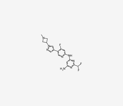 CN1CC(n2cc(-c3cnc(Nc4cc(N)nc(C(F)F)n4)cc3F)cn2)C1